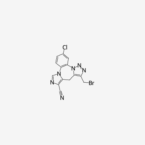 N#Cc1ncn2c1Cc1c(CBr)nnn1-c1cc(Cl)ccc1-2